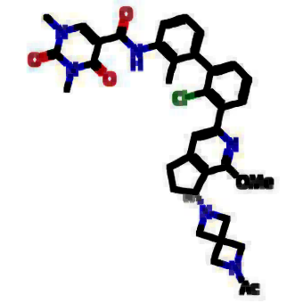 COc1nc(-c2cccc(-c3cccc(NC(=O)c4cn(C)c(=O)n(C)c4=O)c3C)c2Cl)cc2c1[C@H](N1CC3(CN(C(C)=O)C3)C1)CC2